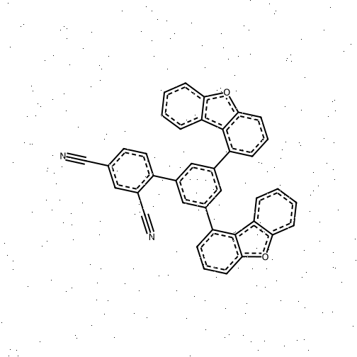 N#Cc1ccc(-c2cc(-c3cccc4oc5ccccc5c34)cc(-c3cccc4oc5ccccc5c34)c2)c(C#N)c1